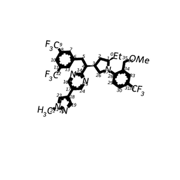 CC[C@@H]1C[C@H](C(Cc2cc(C(F)(F)F)cc(C(F)(F)F)c2)c2ncc(-c3cnn(C)c3)cn2)CN1c1ccc(C(F)(F)F)cc1COC